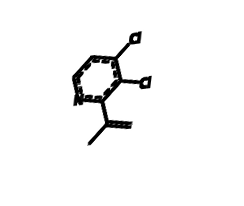 C=C(C)c1nccc(Cl)c1Cl